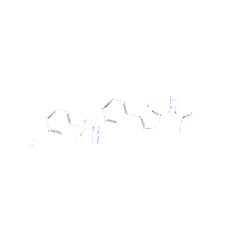 O=C(I)Nc1nc(-c2cccc(NS(=O)(=O)c3cccc(Br)c3)c2)cs1